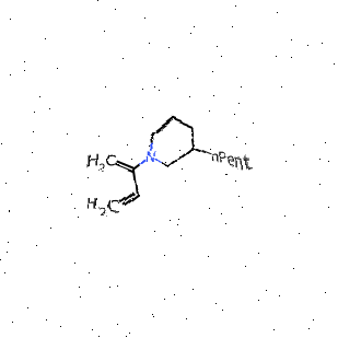 C=CC(=C)N1CCCC(CCCCC)C1